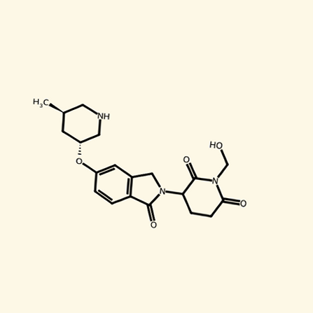 C[C@H]1CNC[C@H](Oc2ccc3c(c2)CN(C2CCC(=O)N(CO)C2=O)C3=O)C1